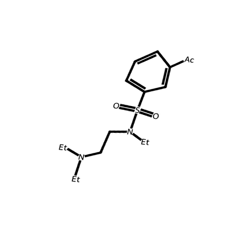 CCN(CC)CCN(CC)S(=O)(=O)c1cccc(C(C)=O)c1